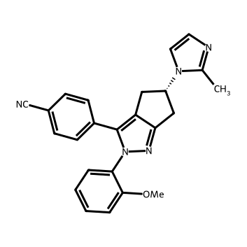 COc1ccccc1-n1nc2c(c1-c1ccc(C#N)cc1)C[C@H](n1ccnc1C)C2